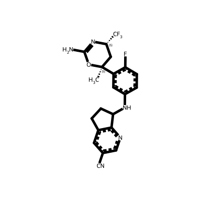 C[C@@]1(c2cc(NC3CCc4cc(C#N)cnc43)ccc2F)C[C@@H](C(F)(F)F)N=C(N)O1